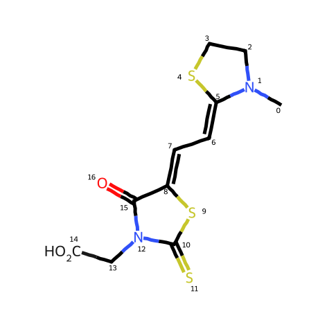 CN1CCSC1=CC=C1SC(=S)N(CC(=O)O)C1=O